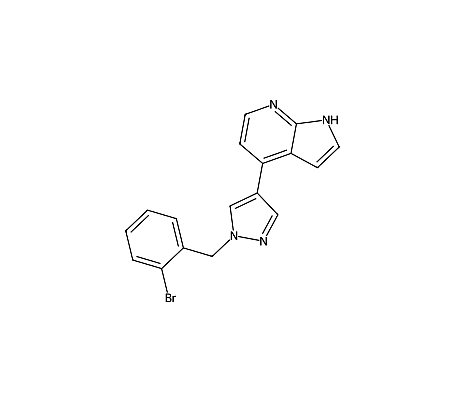 Brc1ccccc1Cn1cc(-c2ccnc3[nH]ccc23)cn1